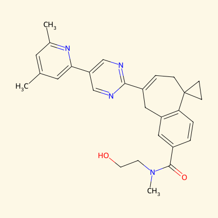 Cc1cc(C)nc(-c2cnc(C3=CCC4(CC4)c4ccc(C(=O)N(C)CCO)cc4C3)nc2)c1